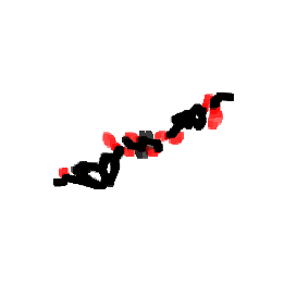 C=CC(=O)Cc1ccc2cc(C(=O)O[C@H]3CO[C@H]4[C@@H]3OC[C@H]4OC(=O)c3ccc4cc(OC(=O)C=C)ccc4c3)ccc2c1